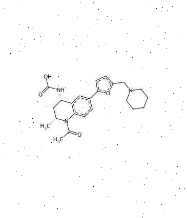 CC(=O)N1c2ccc(-c3ccc(CN4CCCCC4)o3)cc2[C@@H](NC(=O)O)C[C@H]1C